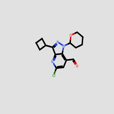 O=Cc1cc(Cl)nc2c(C3CCC3)nn(C3CCCCO3)c12